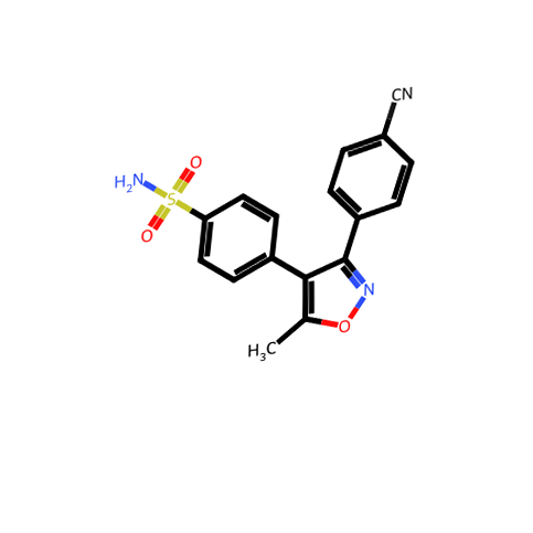 Cc1onc(-c2ccc(C#N)cc2)c1-c1ccc(S(N)(=O)=O)cc1